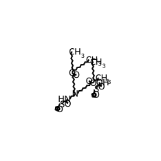 CCCCCCCCC(CC)OC(=O)CCCCCCCN(CCCCCCCC(=O)OC(CCCCCCCC)CCCCCCCC)CCCNC(=O)CSCc1ccco1.O=C(O)CSCc1ccco1